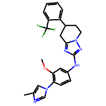 COc1cc(Nc2nc3n(n2)CCC(c2ccccc2C(F)(F)F)C3)ccc1-n1cnc(C)c1